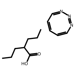 C1=CC=NN=NC=C1.CCCC(CCC)C(=O)O